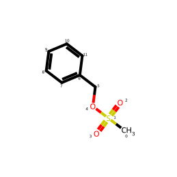 CS(=O)(=O)OCc1cc[c]cc1